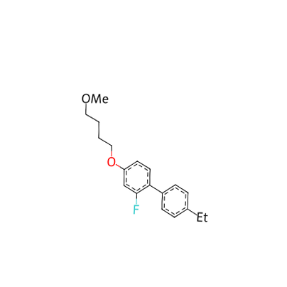 CCc1ccc(-c2ccc(OCCCCOC)cc2F)cc1